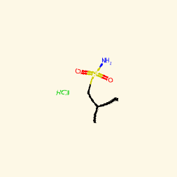 CC(C)CS(N)(=O)=O.Cl